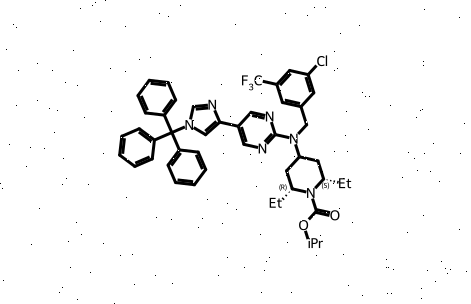 CC[C@@H]1CC(N(Cc2cc(Cl)cc(C(F)(F)F)c2)c2ncc(-c3cn(C(c4ccccc4)(c4ccccc4)c4ccccc4)cn3)cn2)C[C@H](CC)N1C(=O)OC(C)C